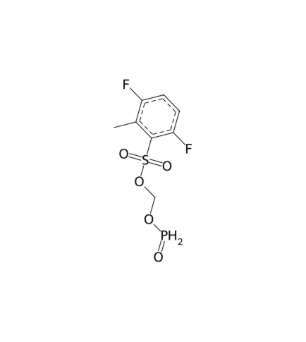 Cc1c(F)ccc(F)c1S(=O)(=O)OCO[PH2]=O